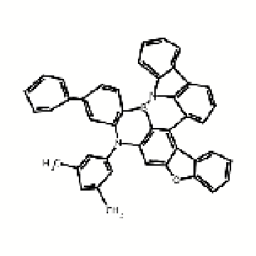 Cc1cc(C)cc(N2c3cc(-c4ccccc4)ccc3B3c4c2cc2oc5ccccc5c2c4-c2cccc4c5ccccc5n3c24)c1